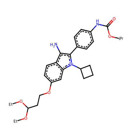 CCOC(CCOc1ccc2c(N)c(-c3ccc(NC(=O)OC(C)C)cc3)n(C3CCC3)c2c1)OCC